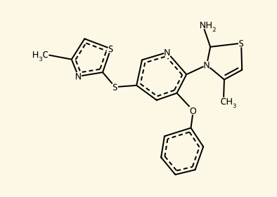 CC1=CSC(N)N1c1ncc(Sc2nc(C)cs2)cc1Oc1ccccc1